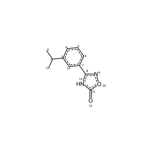 CC(C)c1cccc(-c2noc(=O)[nH]2)c1